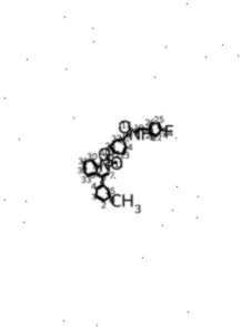 Cc1cccc(-c2cn(S(=O)(=O)c3ccc(C(=O)NCc4ccc(F)cc4)cc3)c3ccccc23)c1